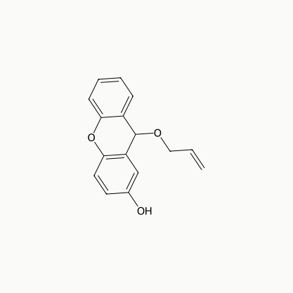 C=CCOC1c2ccccc2Oc2ccc(O)cc21